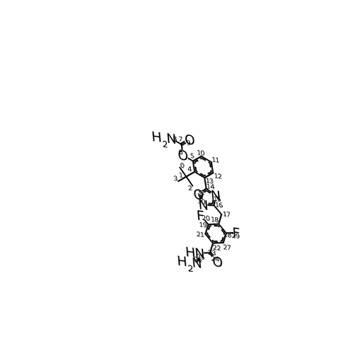 CC(C)(C)c1c(OC(N)=O)cccc1-c1nc(Cc2c(F)cc(C(=O)NN)cc2F)no1